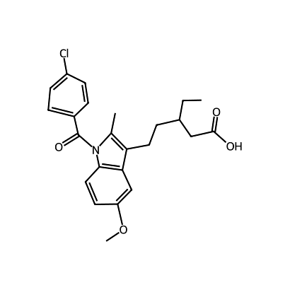 CCC(CCc1c(C)n(C(=O)c2ccc(Cl)cc2)c2ccc(OC)cc12)CC(=O)O